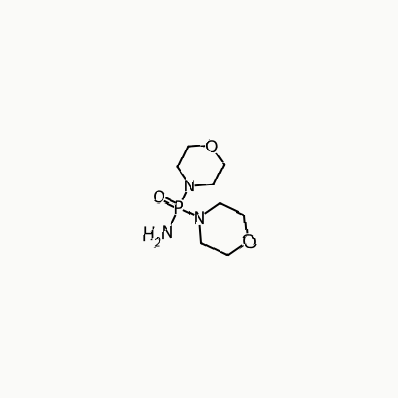 NP(=O)(N1CCOCC1)N1CCOCC1